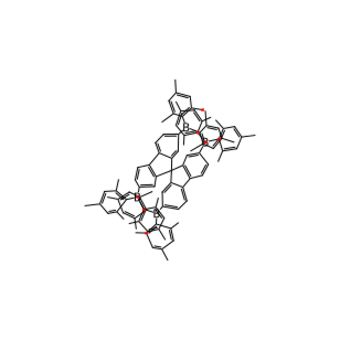 Cc1cc(C)c(B(c2ccc3c(c2)C2(c4cc(B(c5c(C)cc(C)cc5C)c5c(C)cc(C)cc5C)ccc4-3)c3cc(B(c4c(C)cc(C)cc4C)c4c(C)cc(C)cc4C)ccc3-c3ccc(B(c4c(C)cc(C)cc4C)c4c(C)cc(C)cc4C)cc32)c2c(C)cc(C)cc2C)c(C)c1